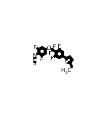 CCc1ccc(-c2cc(F)c(C(F)(F)Oc3cc(F)c(N=C=S)c(F)c3)c(F)c2)s1